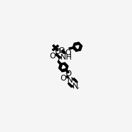 CN1CCN(C(=O)Oc2ccc(C[C@H](NC(=O)OCc3ccccc3)C(=O)OC(C)(C)C)cc2)CC1